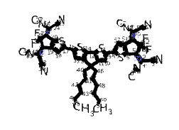 [C-]#[N+]/C(C#N)=C1\c2sc(-c3cc4c(s3)-c3sc(-c5cc6c(s5)/C(=C(\C#N)[N+]#[C-])C(F)(F)/C6=C(/C#N)[N+]#[C-])cc3C4(CCCCCC)CCCCCC)cc2/C(=C(/C#N)[N+]#[C-])C1(F)F